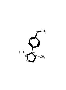 COc1ccc([C@@H]2[C@H](C)CO[C@@H]2O)cc1